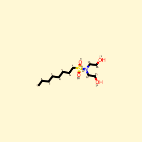 CCCCCCCCS(=O)(=O)N(CCO)CCO